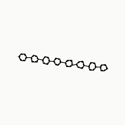 [c]1ccc(-c2ccc(-c3ccc(-c4ccc(-c5ccc(-c6ccc(-c7ccc(-c8ccccc8)cc7)cc6)cc5)cc4)cc3)cc2)cc1